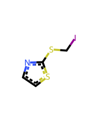 ICSc1nccs1